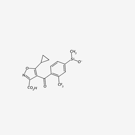 C[S+]([O-])c1ccc(C(=O)c2c(C(=O)O)noc2C2CC2)c(C(F)(F)F)c1